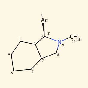 CC(=O)[C@@H]1C2CCCCC2CN1C